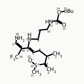 C=C(C(C)C/C=C(NCCCNC(=O)OCCCC)/C(=C\N)C(F)(F)F)[S+](C)[O-]